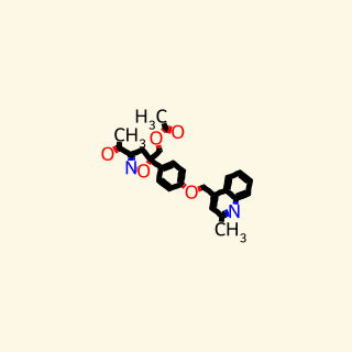 CC(=O)OCC1(c2ccc(OCc3cc(C)nc4ccccc34)cc2)CC(C(C)=O)=NO1